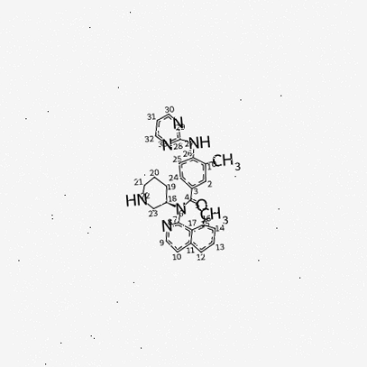 Cc1cc(C(=O)N(c2nccc3cccc(C)c23)[C@@H]2CCCNC2)ccc1Nc1ncccn1